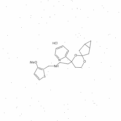 COc1ccsc1CNCCC1(c2ccccn2)CCOC2(CC3CC3C2)O1.Cl